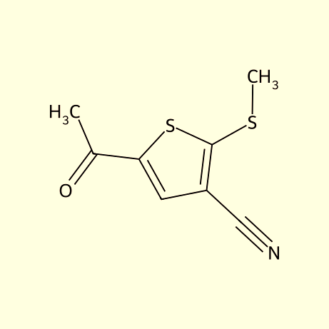 CSc1sc(C(C)=O)cc1C#N